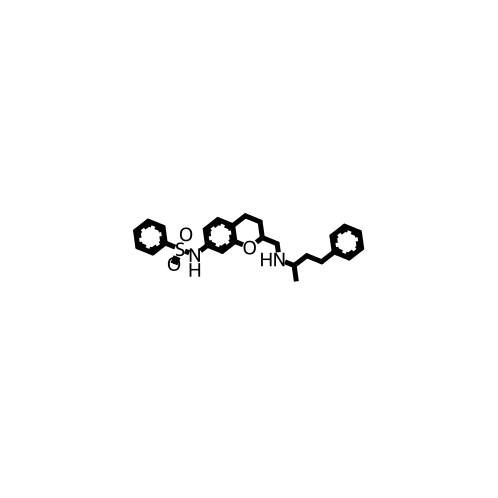 CC(CCc1ccccc1)NCC1CCc2ccc(NS(=O)(=O)c3ccccc3)cc2O1